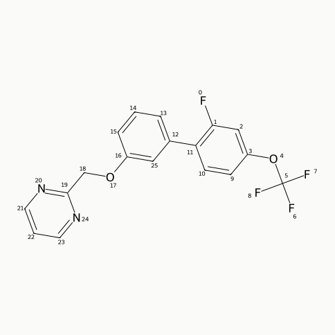 Fc1cc(OC(F)(F)F)ccc1-c1cccc(OCc2ncccn2)c1